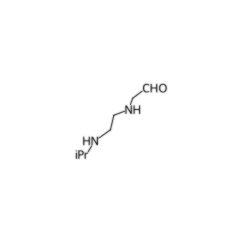 CC(C)NCCNCC=O